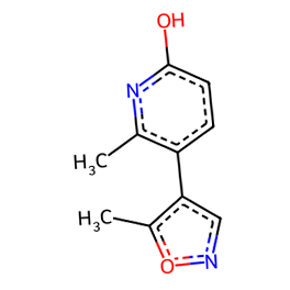 Cc1nc(O)ccc1-c1cnoc1C